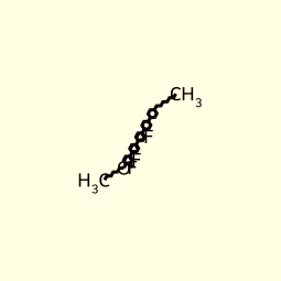 CCCCCCCC1CCC(C2CCC(c3ccc(-c4ccc(-c5ccc(OCCCCCC)c(F)c5F)cc4)cc3F)CC2)CC1